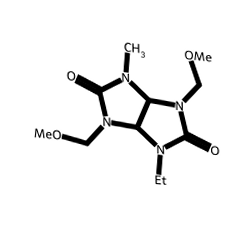 CCN1C(=O)N(COC)C2C1N(COC)C(=O)N2C